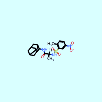 Cc1ccc([N+](=O)[O-])cc1S(=O)(=O)NC(C)(C)C(=O)NC1C2CC3CC(C2)CC1C3